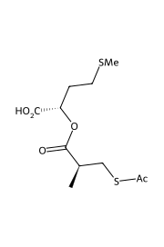 CSCC[C@H](OC(=O)[C@H](C)CSC(C)=O)C(=O)O